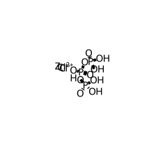 O=P(O)(O)OP(=O)(O)OP(=O)(O)O.[Cl-].[Cl-].[Zn+2]